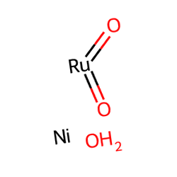 O.[Ni].[O]=[Ru]=[O]